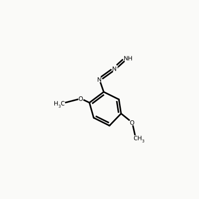 COc1ccc(OC)c(N=[N+]=N)c1